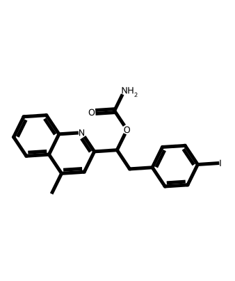 Cc1cc(C(Cc2ccc(I)cc2)OC(N)=O)nc2ccccc12